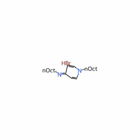 Br.CCCCCCCCN=c1ccn(CCCCCCCC)cc1